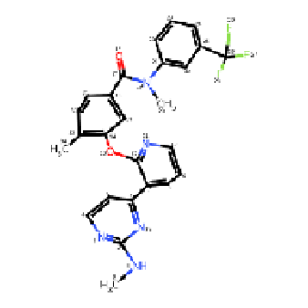 CNc1nccc(-c2cccnc2Oc2cc(C(=O)N(C)c3cccc(C(F)(F)F)c3)ccc2C)n1